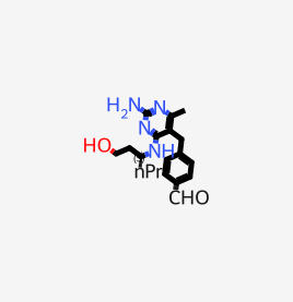 CCC[C@@H](CCO)Nc1nc(N)nc(C)c1Cc1ccc(C=O)cc1